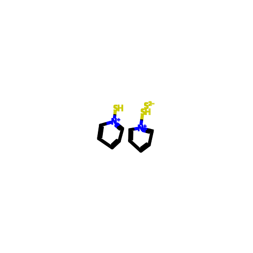 S[n+]1ccccc1.S[n+]1ccccc1.[S-2]